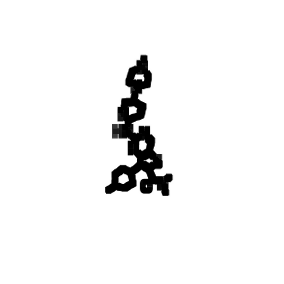 CC1CCC(c2c(C(=O)N(C)C)sc3cnc(Nc4ccc(N5CCN(C)CC5)cn4)nc23)CC1